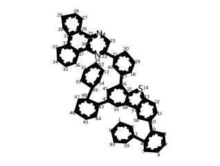 c1ccc(-c2ccccc2-c2ccc3sc4c(-c5cccc(-c6cnc7c8ccccc8c8ccccc8c7n6)c5)cc(-c5ccccc5-c5ccccc5)cc4c3c2)cc1